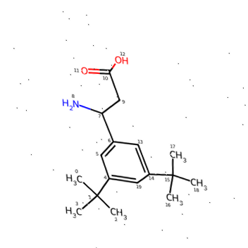 CC(C)(C)c1cc(C(N)CC(=O)O)cc(C(C)(C)C)c1